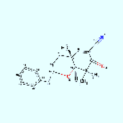 CC1(C)C(=O)C(C#N)=C[C@@]2(C)CC[C@@H](Cc3ccccc3)O[C@H]12